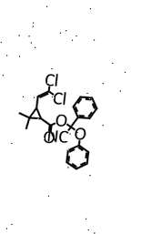 CC1(C)C(C=C(Cl)Cl)C1C(=O)OC(C#N)(Oc1ccccc1)c1ccccc1